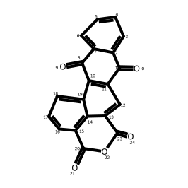 O=C1c2ccccc2C(=O)c2c1cc1c3c(cccc23)C(=O)OC1=O